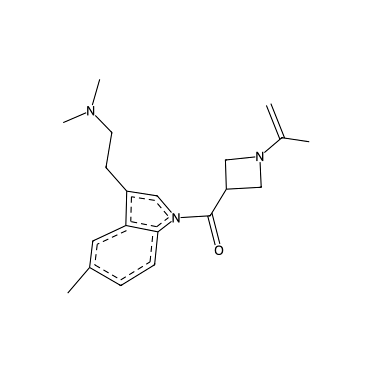 C=C(C)N1CC(C(=O)n2cc(CCN(C)C)c3cc(C)ccc32)C1